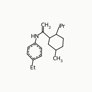 C=C(Nc1ccc(CC)cc1)C1CC(C)CCC1C(C)C